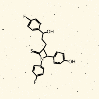 Oc1ccc(C2C(CCC(O)c3ccc(F)cc3)C(=S)N2c2ccc(F)cc2)cc1